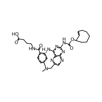 CN(Cc1cnc2nc(NC(=O)OC3/C=C/CCCCC3)nc(N)c2n1)c1ccc(C(=O)NCCCC(=O)O)cc1